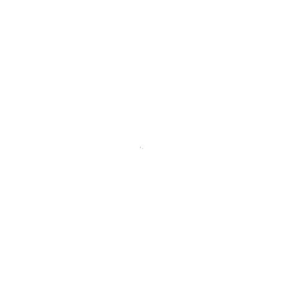 CC1(c2ccccc2)c2ccccc2-c2ccc(N3c4ccc(-c5ccccc5)cc4Sc4cc(-c5ccccc5)ccc43)cc21